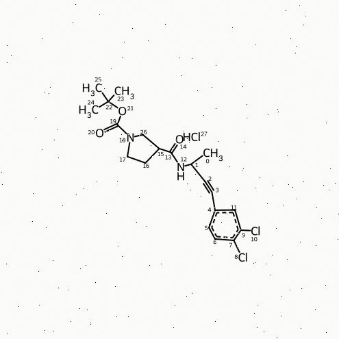 CC(C#Cc1ccc(Cl)c(Cl)c1)NC(=O)C1CCN(C(=O)OC(C)(C)C)C1.Cl